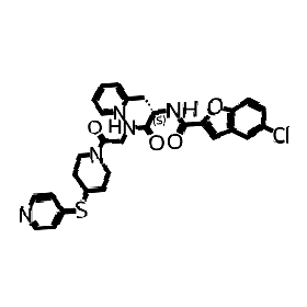 O=C(N[C@@H](Cc1ccccn1)C(=O)NCC(=O)N1CCC(Sc2ccncc2)CC1)c1cc2cc(Cl)ccc2o1